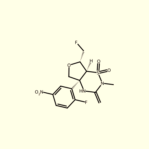 C=C1N[C@@]2(c3cc([N+](=O)[O-])ccc3F)CO[C@H](CF)[C@H]2S(=O)(=O)N1C